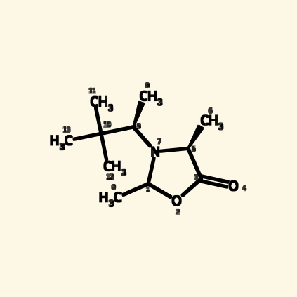 CC1OC(=O)[C@H](C)N1[C@H](C)C(C)(C)C